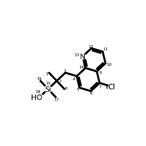 CC(C)(Cc1ccc(Cl)c2cccnc12)[Si](C)(C)O